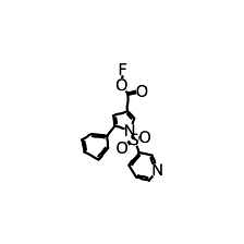 O=C(OF)c1cc(-c2ccccc2)n(S(=O)(=O)c2cccnc2)c1